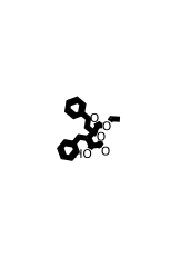 CCOC(=O)C1(CCc2ccccc2)OC(=O)C(O)=C1Cc1ccccc1